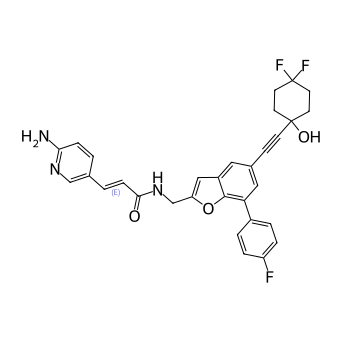 Nc1ccc(/C=C/C(=O)NCc2cc3cc(C#CC4(O)CCC(F)(F)CC4)cc(-c4ccc(F)cc4)c3o2)cn1